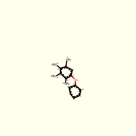 CCCc1cc(Oc2ccccc2)c(CCC)c(CCC)c1CCC